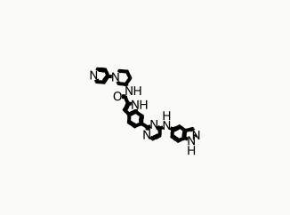 O=C(NC1CCCN(c2ccncc2)C1)c1cc2ccc(-c3nccc(Nc4ccc5[nH]ncc5c4)n3)cc2[nH]1